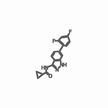 O=C(Nc1n[nH]c2cc(-c3ccc(F)cc3F)ccc12)C1CC1